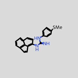 CSc1ccc(NC(=N)Nc2ccc3cccc4c3c2C=C4)cc1